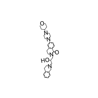 O=C1c2ccc(N3CCN(C4CCOCC4)CC3)cc2CCN1CC(O)CN1CCc2ccccc2C1